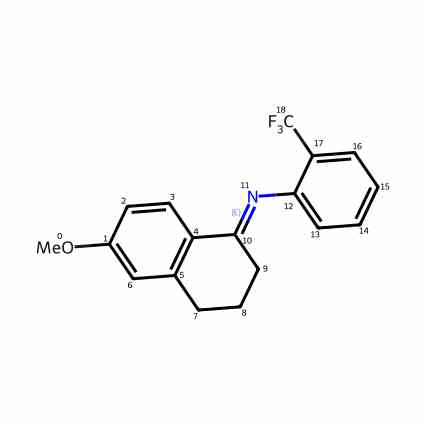 COc1ccc2c(c1)CCC/C2=N\c1ccccc1C(F)(F)F